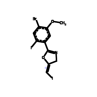 COc1cc(C2=NC/C(=C\I)O2)c(I)cc1Br